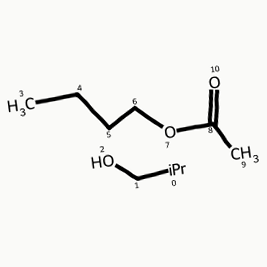 CC(C)CO.CCCCOC(C)=O